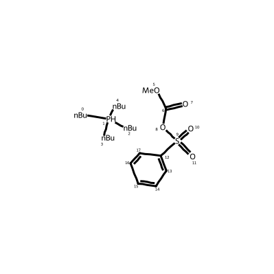 CCCC[PH](CCCC)(CCCC)CCCC.COC(=O)OS(=O)(=O)c1ccccc1